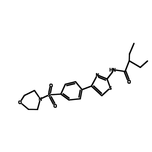 CCC(CC)C(=O)Nc1nc(-c2ccc(S(=O)(=O)N3CCOCC3)cc2)cs1